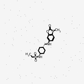 CCS(=O)(=O)N[C@H]1CC[C@H](CNc2ccc3c(c2)oc(=O)n3C)CC1